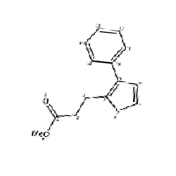 COC(=O)CCc1sccc1-c1ccccc1